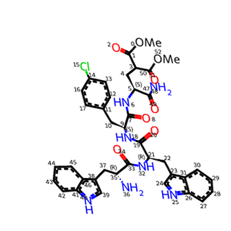 COC(=O)C(C[C@H](NC(=O)[C@H](Cc1ccc(Cl)cc1)NC(=O)[C@@H](Cc1c[nH]c2ccccc12)NC(=O)[C@H](N)Cc1c[nH]c2ccccc12)C(N)=O)C(=O)OC